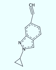 C#Cc1ccc2cn(C3CC3)nc2c1